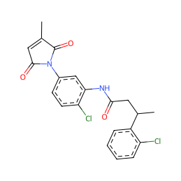 CC1=CC(=O)N(c2ccc(Cl)c(NC(=O)CC(C)c3ccccc3Cl)c2)C1=O